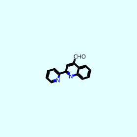 O=Cc1cc(-c2ccccn2)nc2ccccc12